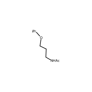 [CH2]C(=O)NCCCOC(C)C